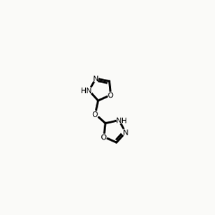 C1=NNC(OC2NN=CO2)O1